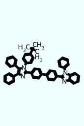 CC(C)(C)c1ccc(-n2c(-c3ccc(-c4ccc(-c5nc6ccccc6n5-c5ccccc5)cc4)cc3)nc(-c3ccccc3)c2-c2ccccc2)cc1